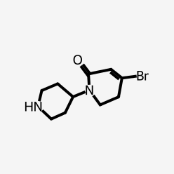 O=C1C=C(Br)CCN1C1CCNCC1